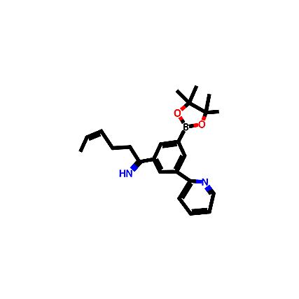 C/C=C\CCC(=N)c1cc(B2OC(C)(C)C(C)(C)O2)cc(-c2ccccn2)c1